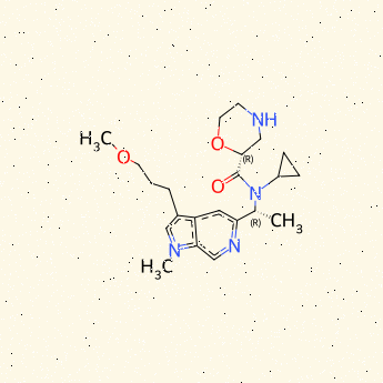 COCCCc1cn(C)c2cnc([C@@H](C)N(C(=O)[C@H]3CNCCO3)C3CC3)cc12